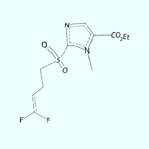 CCOC(=O)c1cnc(S(=O)(=O)CCC=C(F)F)n1C